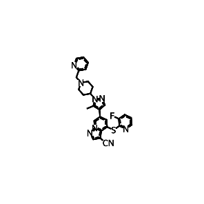 Cc1c(-c2cc(Sc3ncccc3F)c3c(C#N)cnn3c2)cnn1C1CCN(Cc2ccccn2)CC1